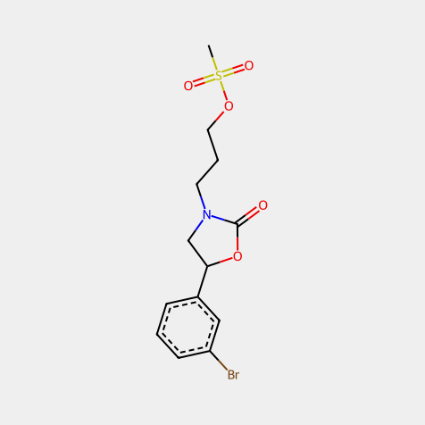 CS(=O)(=O)OCCCN1CC(c2cccc(Br)c2)OC1=O